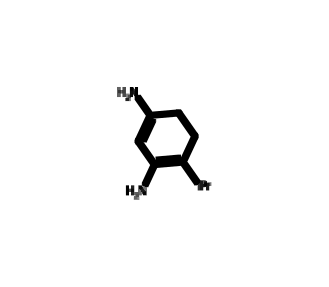 CC(C)C1=C(N)C=C(N)CC1